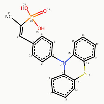 N#CC(=Cc1ccc(N2c3ccccc3Sc3ccccc32)cc1)P(=O)(O)O